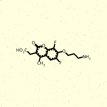 Cc1c(CC(=O)O)c(=O)oc2c(F)c(OCCCN)c(F)cc12